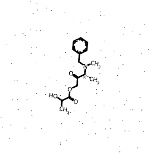 CC(O)C(=O)OCC(=O)[C@@H](C)N(C)Cc1ccccc1